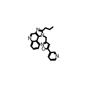 CCCc1nc2cnc3ccccc3c2n1Cc1cc(-c2cccnc2)on1